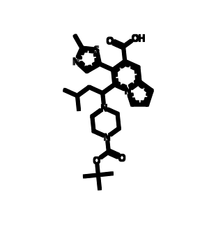 Cc1ncc(-c2c(C(=O)O)cc3cccn3c2C(CC(C)C)N2CCN(C(=O)OC(C)(C)C)CC2)s1